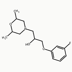 CC1CN(CC(O)COc2cccc(F)c2)CC(C)O1